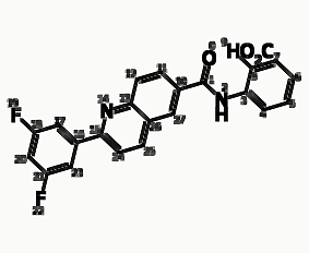 O=C(Nc1ccccc1C(=O)O)c1ccc2nc(-c3cc(F)cc(F)c3)ccc2c1